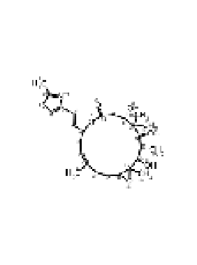 C/C1=C/C[C@@H](C=Cc2csc(C)n2)OC(=O)C[C@H](O)C(C)(C)C(=O)[C@H](C)[C@@H](O)C2(C)OC2CC1